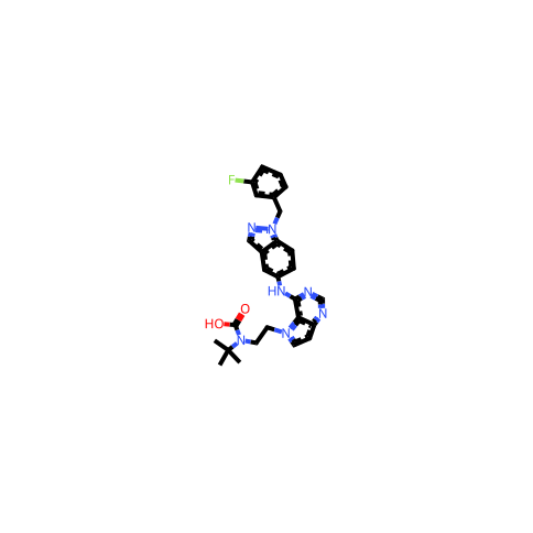 CC(C)(C)N(CCn1ccc2ncnc(Nc3ccc4c(cnn4Cc4cccc(F)c4)c3)c21)C(=O)O